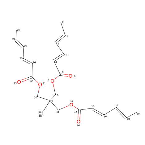 CC=CC=CC(=O)OCC(CC)(COC(=O)C=CC=CC)COC(=O)C=CC=CC